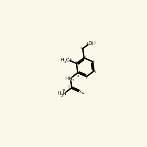 Cc1c(CO)cccc1NC(N)=S